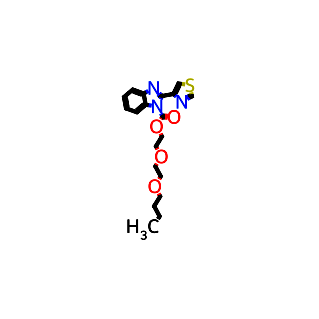 CCCCOCCOCCOC(=O)n1c(-c2cscn2)nc2ccccc21